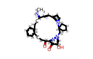 C/N=C1\C=C/c2ccn(c2)C2(CCCC2)Cn2cc(O)c(=O)c(n2)C(=O)CCc2ccccc2CC1